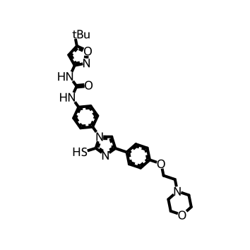 CC(C)(C)c1cc(NC(=O)Nc2ccc(-n3cc(-c4ccc(OCCN5CCOCC5)cc4)nc3S)cc2)no1